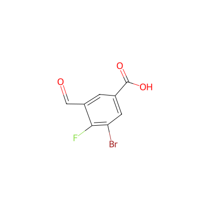 O=Cc1cc(C(=O)O)cc(Br)c1F